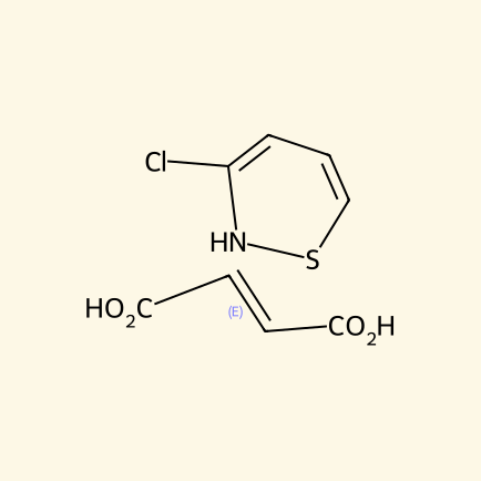 ClC1=CC=CSN1.O=C(O)/C=C/C(=O)O